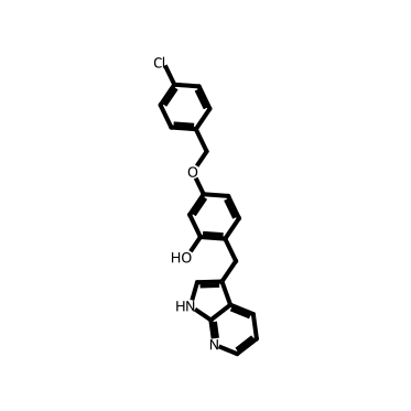 Oc1cc(OCc2ccc(Cl)cc2)ccc1Cc1c[nH]c2ncccc12